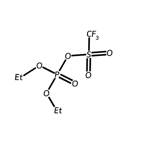 CCOP(=O)(OCC)OS(=O)(=O)C(F)(F)F